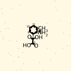 CN.O=C(O)C(=O)O.c1ccccc1